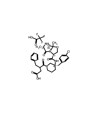 C[C@H](N)C(=O)N1[C@H](C(=O)N[C@@]2(Cc3ccc(Cl)cc3)CCCN(C(=O)C(CC(=O)O)Cc3ccccc3)C2)COC1(C)C.O=C(O)C(F)(F)F